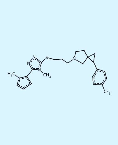 Cn1cccc1-c1nnc(SCCCN2CCC3(CC3c3ccc(C(F)(F)F)cc3)C2)n1C